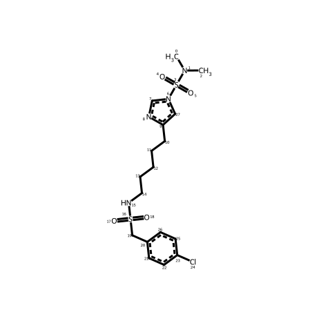 CN(C)S(=O)(=O)n1cnc(CCCCCNS(=O)(=O)Cc2ccc(Cl)cc2)c1